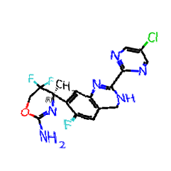 C[C@]1(c2cc3c(cc2F)CNC(c2ncc(Cl)cn2)=N3)N=C(N)OCC1(F)F